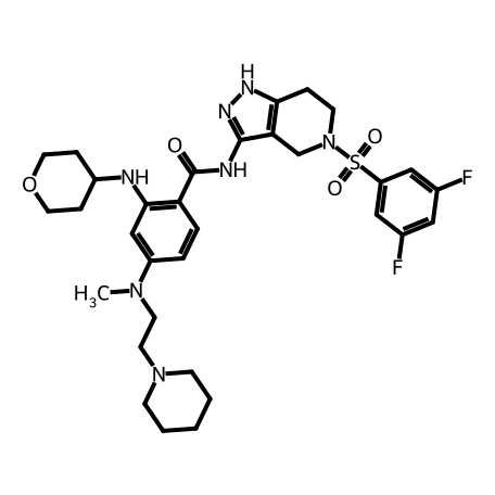 CN(CCN1CCCCC1)c1ccc(C(=O)Nc2n[nH]c3c2CN(S(=O)(=O)c2cc(F)cc(F)c2)CC3)c(NC2CCOCC2)c1